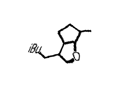 CCC(C)CC1COC2C(C)CCC12